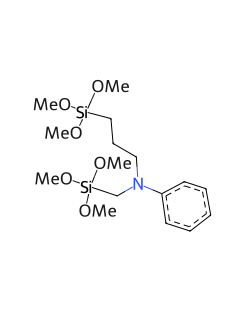 CO[Si](CCCN(C[Si](OC)(OC)OC)c1ccccc1)(OC)OC